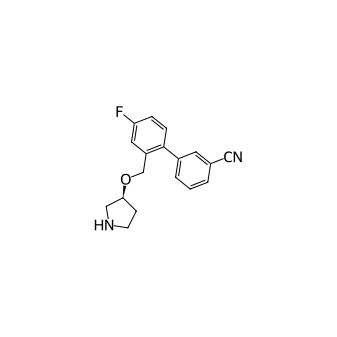 N#Cc1cccc(-c2ccc(F)cc2CO[C@H]2CCNC2)c1